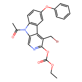 CCOC(=O)Oc1ncc2c(c1CBr)c1cc(Oc3ccccc3)ccc1n2C(C)=O